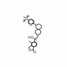 Cc1c([C@@H](O)CN2CCC3(CCCN(c4ccc(S(C)(=O)=O)cn4)C3)CC2)ccc2c1COC2=O